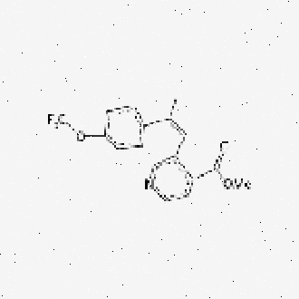 COC(=O)c1ccncc1C=C(C)c1ccc(OC(F)(F)F)cc1